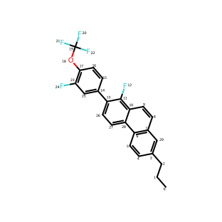 CCCc1ccc2c(ccc3c(F)c(-c4ccc(OC(F)(F)F)c(F)c4)ccc32)c1